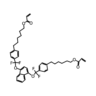 C=CC(=O)OCCCCCCc1ccc(C(F)(F)Oc2ccc(OC(F)(F)c3ccc(CCCCCCOC(=O)C=C)cc3)c3ccccc23)cc1